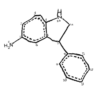 Nc1ccc2c(c1)C(c1ccccc1)CN2